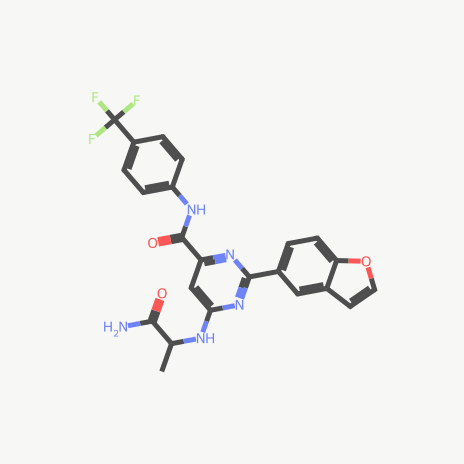 CC(Nc1cc(C(=O)Nc2ccc(C(F)(F)F)cc2)nc(-c2ccc3occc3c2)n1)C(N)=O